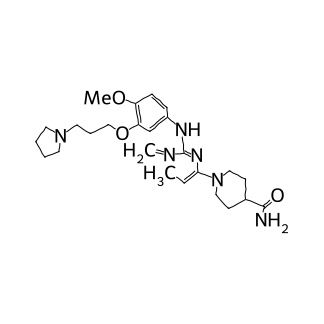 C=N/C(=N\C(=C/C)N1CCC(C(N)=O)CC1)Nc1ccc(OC)c(OCCCN2CCCC2)c1